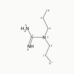 [CH2]CCN(CCC)C(=N)N